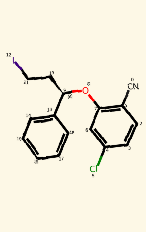 N#Cc1ccc(Cl)cc1O[C@H](CCI)c1ccccc1